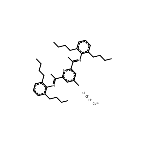 CCCCc1cccc(CCCC)c1N=C(C)c1cc(C)cc(C(C)=Nc2c(CCCC)cccc2CCCC)n1.[Cl-].[Cl-].[Cl-].[Co+3]